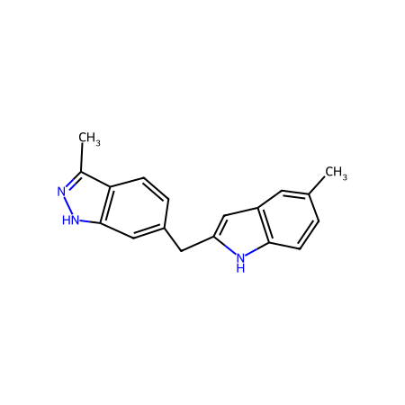 Cc1ccc2[nH]c(Cc3ccc4c(C)n[nH]c4c3)cc2c1